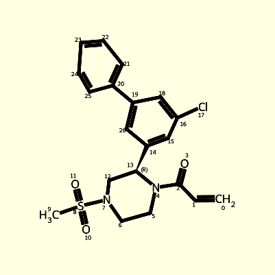 C=CC(=O)N1CCN(S(C)(=O)=O)C[C@H]1c1cc(Cl)cc(-c2ccccc2)c1